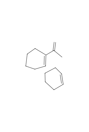 C1=CCCCC1.C=C(C)C1=CCCCC1